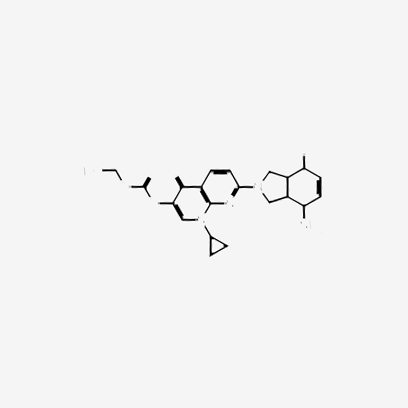 CCOC(=O)Oc1cn(C2CC2)c2nc(N3CC4C(C)C=CC(N)C4C3)ccc2c1=O